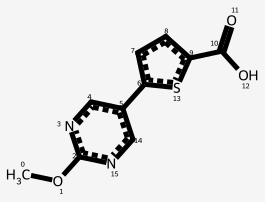 COc1ncc(-c2ccc(C(=O)O)s2)cn1